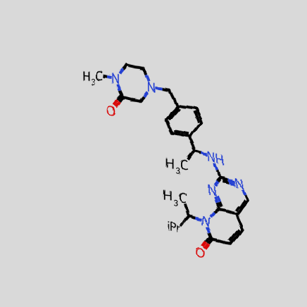 CC(Nc1ncc2ccc(=O)n(C(C)C(C)C)c2n1)c1ccc(CN2CCN(C)C(=O)C2)cc1